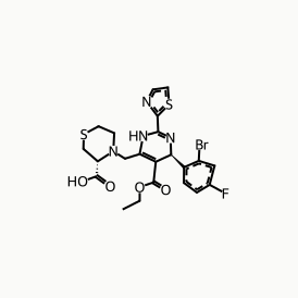 CCOC(=O)C1=C(CN2CCSC[C@H]2C(=O)O)NC(c2nccs2)=N[C@H]1c1ccc(F)cc1Br